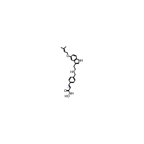 CC(C)=CCOc1ccc2[nH]cc(CCNCc3ccc(/C=C/C(=O)NO)cc3)c2c1